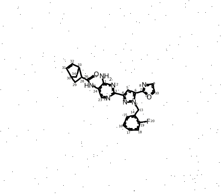 Nc1nc(-c2cc(-c3ncco3)n(Cc3ccccc3F)n2)ncc1NC(=O)C1CC2C=CC1C2